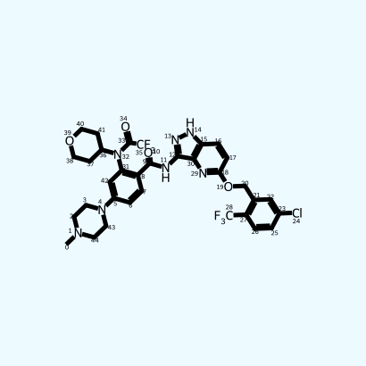 CN1CCN(c2ccc(C(=O)Nc3n[nH]c4ccc(OCc5cc(Cl)ccc5C(F)(F)F)nc34)c(N(C(=O)C(F)(F)F)C3CCOCC3)c2)CC1